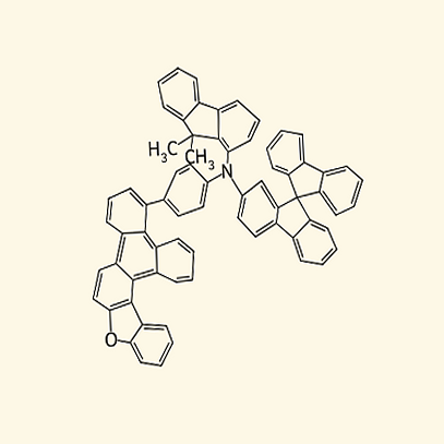 CC1(C)c2ccccc2-c2cccc(N(c3ccc(-c4cccc5c6ccc7oc8ccccc8c7c6c6ccccc6c45)cc3)c3ccc4c(c3)C3(c5ccccc5-c5ccccc53)c3ccccc3-4)c21